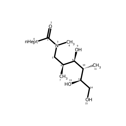 CCCCCCCC(=O)N(C)C[C@H](C)[C@@H](O)[C@H](C)[C@H](O)CO